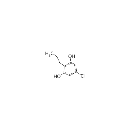 CCCc1c(O)cc(Cl)cc1O